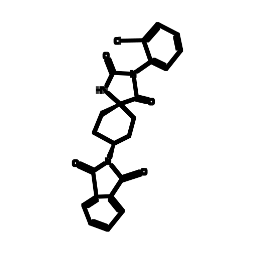 O=C1N[C@]2(CC[C@H](N3C(=O)c4ccccc4C3=O)CC2)C(=O)N1c1ccccc1Cl